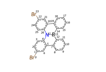 Brc1ccc2c(c1)-c1ccccc1B1c3ccccc3-c3cc(Br)ccc3N12